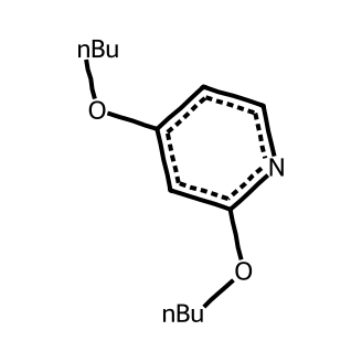 CCCCOc1ccnc(OCCCC)c1